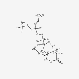 CCCC(C)(C)CC[C@](C)(/C=C/C(=O)OCC)CCC(C)(C)[C@]1(C)CC[C@H]2[C@H](C)C(=O)CC[C@]2(C)/C1=C/C(C)=O